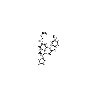 NCCNc1nc(C2C(=O)Nc3ccc(C(F)(F)F)cc32)c2cn(C3CCCC3)nc2n1